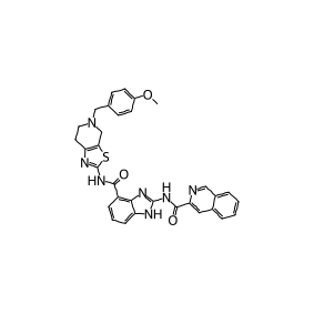 COc1ccc(CN2CCc3nc(NC(=O)c4cccc5[nH]c(NC(=O)c6cc7ccccc7cn6)nc45)sc3C2)cc1